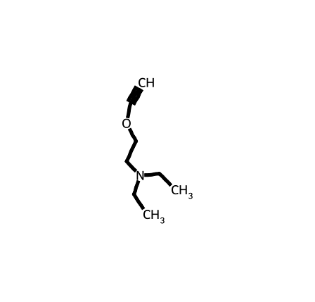 C#COCCN(CC)CC